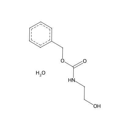 O.O=C(NCCO)OCc1ccccc1